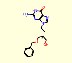 Nc1nc2c(ncn2CC[C@H](CO)COCc2ccccc2)c(=O)[nH]1